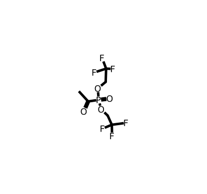 CC(=O)P(=O)(OCC(F)(F)F)OCC(F)(F)F